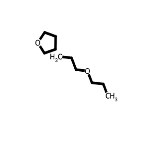 C1CCOC1.CCCOCCC